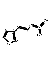 O=S(=O)=NC=Cc1ccsc1